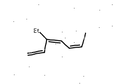 C=C/C(=C\C=C/C)CC